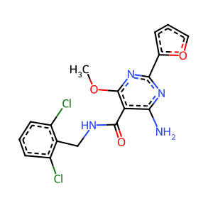 COc1nc(-c2ccco2)nc(N)c1C(=O)NCc1c(Cl)cccc1Cl